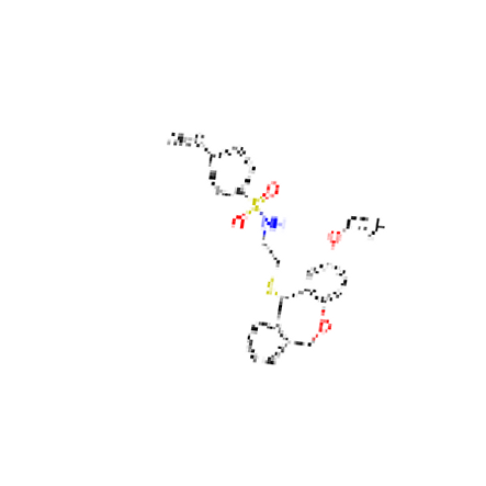 COc1ccc(S(=O)(=O)NCCSC2c3ccccc3COc3ccc(OC(=O)O)cc32)cc1